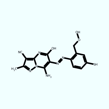 Cc1nn2c(N)c(/N=N/c3ccc(S)cc3COO)c(O)nc2c1C#N